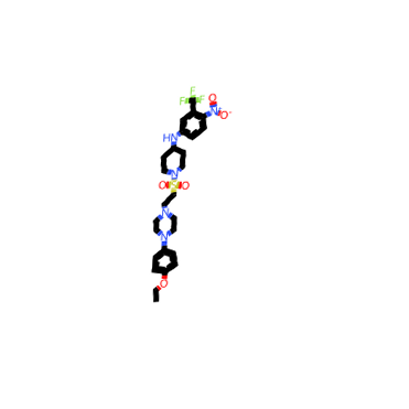 CCOc1ccc(N2CCN(CCS(=O)(=O)N3CCC(Nc4ccc([N+](=O)[O-])c(C(F)(F)F)c4)CC3)CC2)cc1